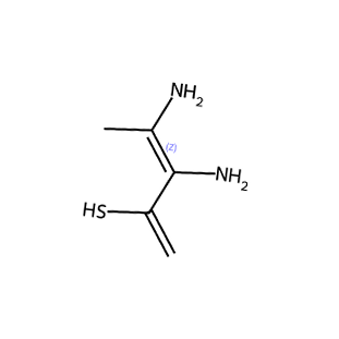 C=C(S)/C(N)=C(\C)N